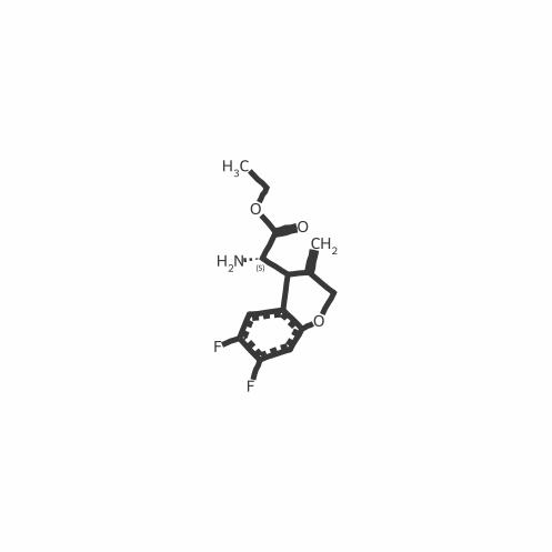 C=C1COc2cc(F)c(F)cc2C1[C@H](N)C(=O)OCC